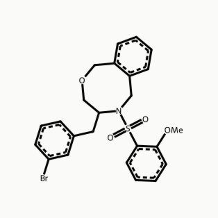 COc1ccccc1S(=O)(=O)N1Cc2ccccc2COCC1Cc1cccc(Br)c1